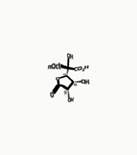 CCCCCCCCC(O)(C(=O)O)[C@H]1OC(=O)[C@@H](O)[C@H]1O